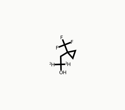 [2H]C([2H])(O)CC1(C(F)(F)F)CC1